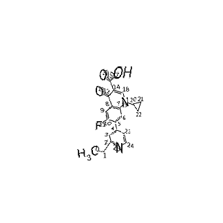 CCc1cc(-c2cc3c(cc2F)c(=O)c(C(=O)O)cn3C2CC2)ccn1